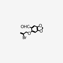 C=C(Br)COc1cc2c(cc1C=O)OCO2